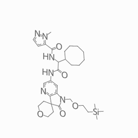 Cn1nccc1C(=O)NC(C(=O)Nc1cnc2c(c1)N(COCC[Si](C)(C)C)C(=O)C21CCOCC1)C1CCCCCCC1